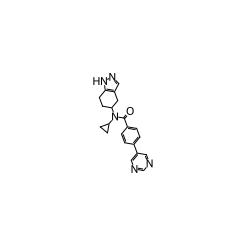 O=C(c1ccc(-c2cncnc2)cc1)N(C1CC1)C1CCc2[nH]ncc2C1